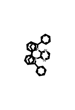 c1ccc(C2CCC(c3ccccc3)P2c2nccnc2P2C(c3ccccc3)CCC2c2ccccc2)cc1